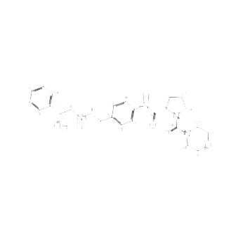 O=C(Nc1ccc(CCNC[C@H](O)c2ccccc2)cc1)[C@@H]1CCCN1C(=O)N1CCOCC1